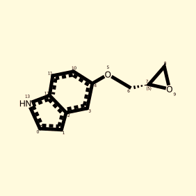 c1cc2cc(OC[C@@H]3CO3)ccc2[nH]1